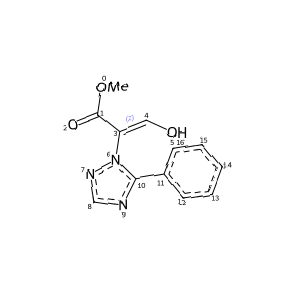 COC(=O)/C(=C/O)n1ncnc1-c1ccccc1